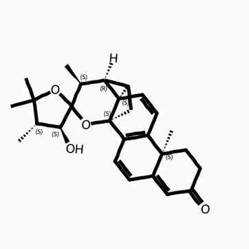 C[C@H]1[C@H](O)C2(OC1(C)C)O[C@@]13CC[C@H]([C@@H]2C)[C@@]1(C)C=CC1=C3C=CC2=CC(=O)CC[C@@]21C